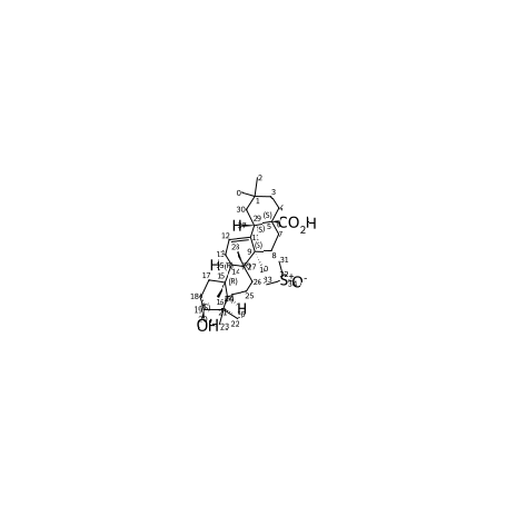 CC1(C)CC[C@]2(C(=O)O)CC[C@]3(C)C(=CC[C@@H]4[C@@]5(C)CC[C@H](O)C(C)(C)[C@@H]5CC[C@]43C)[C@@H]2C1.C[S+](C)[O-]